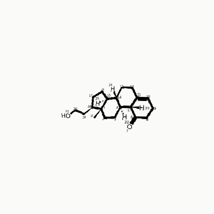 C[C@]12CC[C@@H]3[C@H]4C(=O)CCC=C4CC[C@H]3[C@@H]1CC[C@@H]2CCO